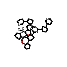 O=S1(=O)c2ccccc2C2(c3ccccc3-c3ccccc3-c3ccc(-c4nc(-c5cccc(-c6cccnc6)c5)nc(-c5cccc(-c6cccnc6)c5)n4)cc32)c2ccc3ccccc3c21